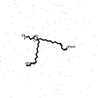 CCCCC/C=C\C/C=C\CCCCCCCCC1(CCCCCCCC/C=C\C/C=C\CCCCC)OCC(CCN(C)CC)O1